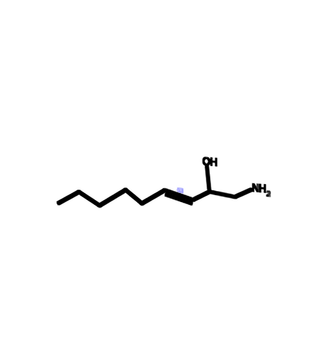 CCCCC/C=C/C(O)CN